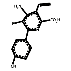 C=Cc1c(C(=O)O)nc(-c2ccc(C#N)cc2)c(F)c1N